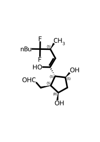 CCCCC(F)(F)[C@@H](C)C=C(O)[C@H]1[C@H](CC=O)[C@H](O)C[C@@H]1O